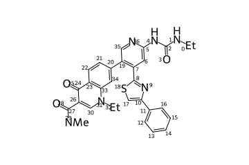 CCNC(=O)Nc1cc(-c2nc(-c3ccccc3)cs2)c(-c2ccc3c(=O)c(C(=O)NC)cn(CC)c3c2)cn1